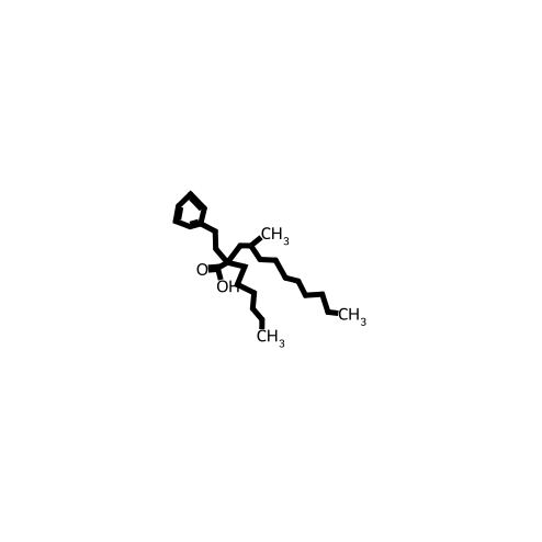 CCCCCCCCC(C)CC(CCCCCC)(CCc1ccccc1)C(=O)O